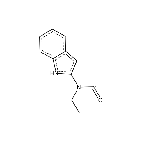 CCN([C]=O)c1cc2ccccc2[nH]1